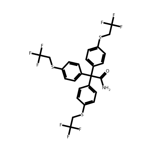 NC(=O)C(c1ccc(SCC(F)(F)F)cc1)(c1ccc(SCC(F)(F)F)cc1)c1ccc(SCC(F)(F)F)cc1